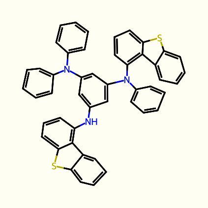 c1ccc(N(c2ccccc2)c2cc(Nc3cccc4sc5ccccc5c34)cc(N(c3ccccc3)c3cccc4sc5ccccc5c34)c2)cc1